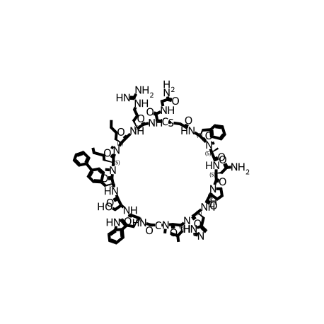 CCCC[C@H]1C(=O)N(C)[C@@H](CCCC)C(=O)N[C@@H](CCCNC(=N)N)C(=O)NC(C(=O)NCC(N)=O)CSCC(=O)N[C@@H](Cc2ccccc2)C(=O)N(C)[C@@H](C)C(=O)N[C@@H](CC(N)=O)C(=O)N2CCC[C@H]2C(=O)N[C@@H](Cc2cnc[nH]2)C(=O)N[C@@H](CC(C)C)C(=O)N(C)CC(=O)N[C@@H](Cc2c[nH]c3ccccc23)C(=O)NC(CO)C(=O)N[C@@H](Cc2ccc(-c3ccccc3)cc2)C(=O)N1C